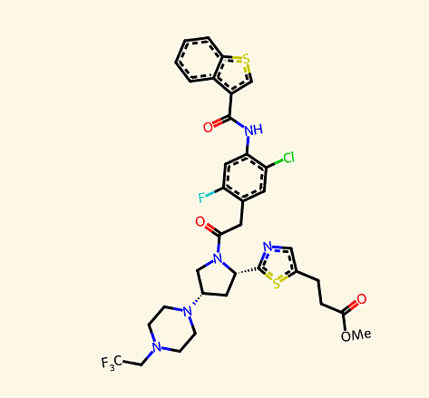 COC(=O)CCc1cnc([C@@H]2C[C@H](N3CCN(CC(F)(F)F)CC3)CN2C(=O)Cc2cc(Cl)c(NC(=O)c3csc4ccccc34)cc2F)s1